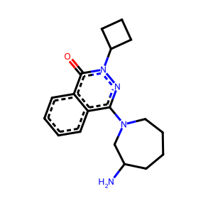 NC1CCCCN(c2nn(C3CCC3)c(=O)c3ccccc23)C1